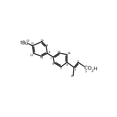 CC(=CC(=O)O)c1ccc(-c2ccc(C(C)(C)C)cc2)cc1